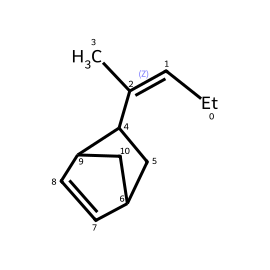 CC/C=C(/C)C1CC2C=CC1C2